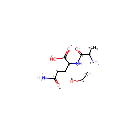 CC(N)C(=O)NC(CCC(N)=O)C(=O)O.CCO